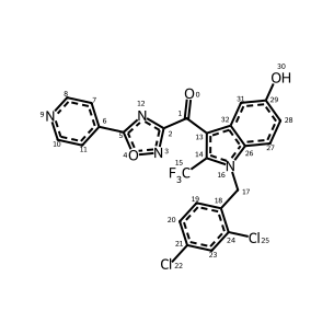 O=C(c1noc(-c2ccncc2)n1)c1c(C(F)(F)F)n(Cc2ccc(Cl)cc2Cl)c2ccc(O)cc12